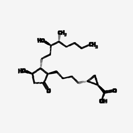 CCCC[C@@H](C)[C@H](O)CC[C@H]1[C@H](O)CC(=O)[C@@H]1CCCC[C@@H]1C[C@H]1C(=O)O